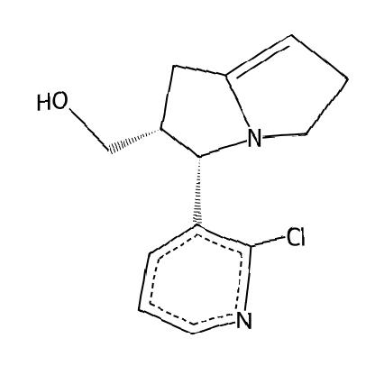 OC[C@@H]1CC2=CCCN2[C@@H]1c1cccnc1Cl